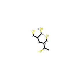 CC(S)C(CS)CC(CS)CS